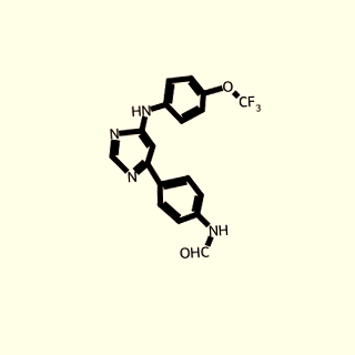 O=CNc1ccc(-c2cc(Nc3ccc(OC(F)(F)F)cc3)ncn2)cc1